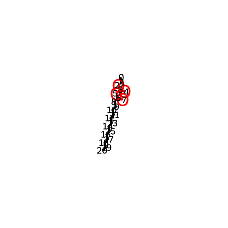 C=COC(=O)OC(=O)CCCCCCCCCCCCC